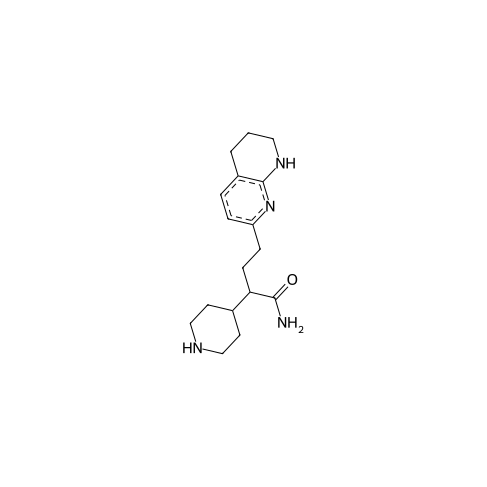 NC(=O)C(CCc1ccc2c(n1)NCCC2)C1CCNCC1